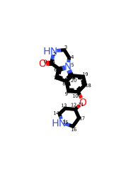 O=C1NCCn2c1cc1cc(OC3CCNCC3)ccc12